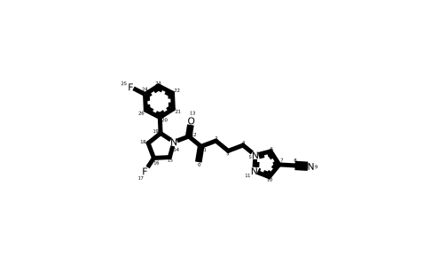 C=C(CCCn1cc(C#N)cn1)C(=O)N1CC(F)CC1c1cccc(F)c1